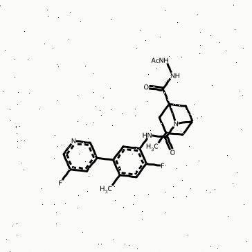 CC(=O)NNC(=O)C12CC(C)CC(C1)N2C(=O)Nc1cc(-c2cncc(F)c2)c(C)cc1F